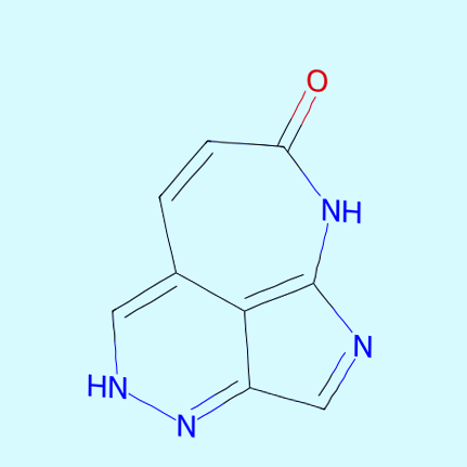 O=c1ccc2c[nH]nc3cnc([nH]1)c23